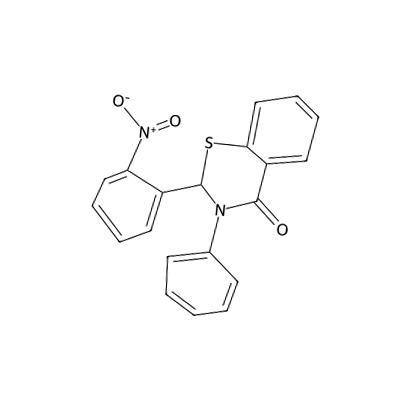 O=C1c2ccccc2SC(c2ccccc2[N+](=O)[O-])N1c1ccccc1